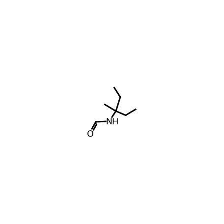 CCC(C)(CC)NC=O